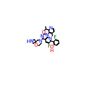 Cc1ccnc(C(C)C)c1-n1c(=O)nc(N2CCOC3(CNC3)C2)c2cc(F)c(-c3c(O)cccc3F)nc21